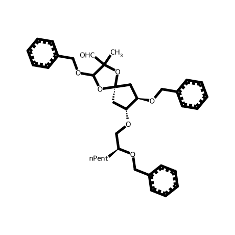 CCCCC[C@@H](CO[C@@H]1C[C@]2(C[C@H]1OCc1ccccc1)OC(OCc1ccccc1)C(C)(C=O)O2)OCc1ccccc1